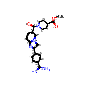 CC(C)(C)OC(=O)C1CCN(C(=O)c2ccc3nc(-c4ccc(C(=N)N)cc4)cn3c2)CC1